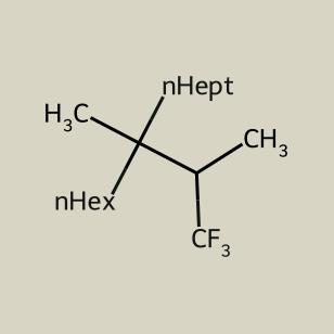 CCCCCCCC(C)(CCCCCC)C(C)C(F)(F)F